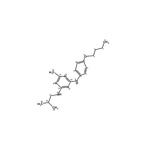 CCCCOc1ccc(Nc2nc(C)nc(NCC(C)C)n2)cc1